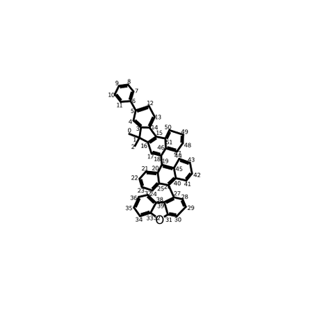 CC1(C)c2cc(-c3ccccc3)ccc2-c2c1cc(-c1c3ccccc3c(-c3cccc4oc5ccccc5c34)c3ccccc13)c1ccccc21